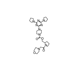 O=C(OCC1CCCN1C(=O)CN1CCOCC1)N1CCN(c2nc(N3CCCC3)nc(N3CCCC3)n2)CC1